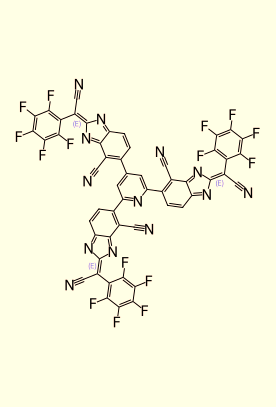 N#C/C(=C1\N=c2ccc(-c3cc(-c4ccc5c(c4C#N)=N/C(=C(/C#N)c4c(F)c(F)c(F)c(F)c4F)N=5)nc(-c4ccc5c(c4C#N)=N/C(=C(/C#N)c4c(F)c(F)c(F)c(F)c4F)N=5)c3)c(C#N)c2=N1)c1c(F)c(F)c(F)c(F)c1F